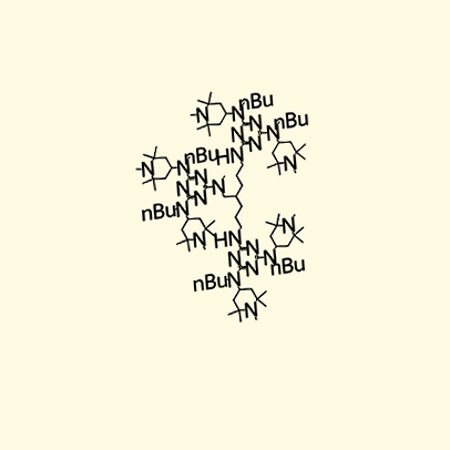 CCCCN(c1nc(NCCCC(CCCNc2nc(N(CCCC)C3CC(C)(C)N(C)C(C)(C)C3)nc(N(CCCC)C3CC(C)(C)N(C)C(C)(C)C3)n2)CN(C)c2nc(N(CCCC)C3CC(C)(C)N(C)C(C)(C)C3)nc(N(CCCC)C3CC(C)(C)N(C)C(C)(C)C3)n2)nc(N(CCCC)C2CC(C)(C)N(C)C(C)(C)C2)n1)C1CC(C)(C)N(C)C(C)(C)C1